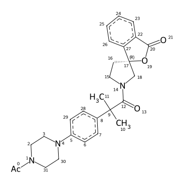 CC(=O)N1CCN(c2ccc(C(C)(C)C(=O)N3CC[C@@]4(C3)OC(=O)c3ccccc34)cc2)CC1